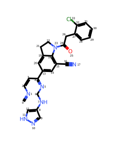 C=N/C=C\C(=N/CNc1cn[nH]c1)c1cc(C#N)c2c(c1)CCN2C(=O)Cc1ccccc1Cl